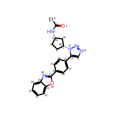 CCC(=O)N[C@H]1CC[C@@H](n2nncc2-c2ccc(-c3nc4ccccc4o3)cc2)C1